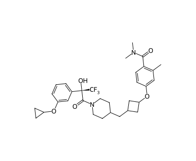 Cc1cc(OC2CC(CC3CCN(C(=O)[C@@](O)(c4cccc(OC5CC5)c4)C(F)(F)F)CC3)C2)ccc1C(=O)N(C)C